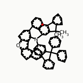 CC1(C)c2ccccc2-c2ccc(N(c3ccc4c(c3)C(c3ccccc3)(c3ccccc3)c3ccccc3-4)c3c(-c4ccccc4)ccc4oc5ccc6ccccc6c5c34)cc21